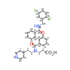 O=C(O)CCN(CCc1ccncc1)C(=O)c1ccccc1-c1ccccc1C(=O)NCc1cc(F)ccc1F